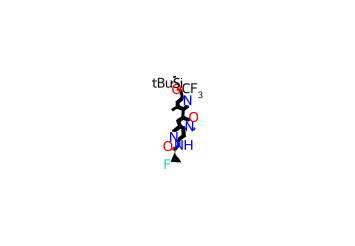 Cc1cc(C(O[Si](C)(C)C(C)(C)C)C(F)(F)F)ncc1-c1cc2cnc(NC(=O)[C@@H]3C[C@@H]3F)cc2n(C)c1=O